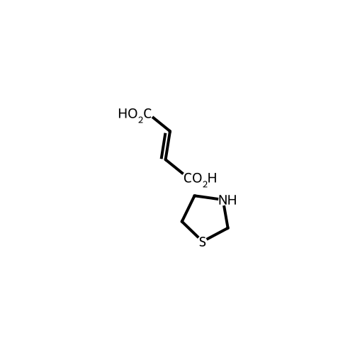 C1CSCN1.O=C(O)C=CC(=O)O